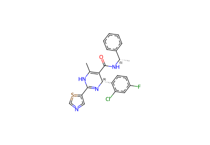 CC1=C(C(=O)N[C@@H](C)c2ccccc2)[C@H](c2ccc(F)cc2Cl)N=C(c2cncs2)N1